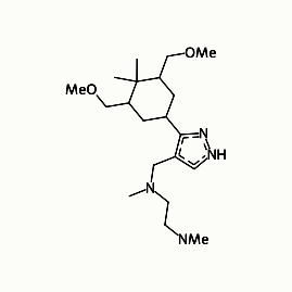 CNCCN(C)Cc1c[nH]nc1C1CC(COC)C(C)(C)C(COC)C1